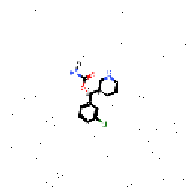 CCNC(=O)O[C@@H](c1cccc(Cl)c1)[C@@H]1CCCNC1